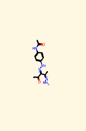 CC(=O)Nc1ccc(N/N=C(C(C)=O)\C(C)=N/N)cc1